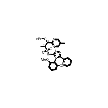 CCCO[C@@H](c1ncc(C)cn1)[C@H](C)S(=O)(=O)Nc1nnc(-c2ccccn2)n1-c1c(OC)cccc1OC